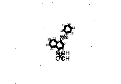 O=P(O)(O)Oc1ccc(N=Nc2ccccc2)c2ccccc12